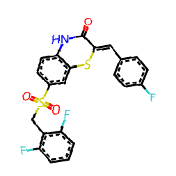 O=C1Nc2ccc(S(=O)(=O)Cc3c(F)cccc3F)cc2SC1=Cc1ccc(F)cc1